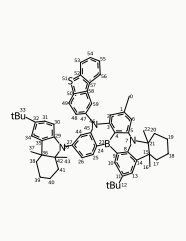 Cc1cc2c3c(c1)N1c4c(cc(C(C)(C)C)cc4C4(C)CCCCC14C)B3c1ccc(N3c4ccc(C(C)(C)C)cc4C4(C)CCCCC34C)cc1N2c1ccc2sc3ccccc3c2c1